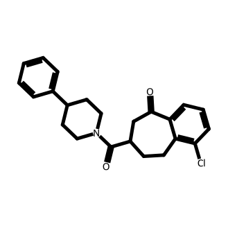 O=C1CC(C(=O)N2CCC(c3ccccc3)CC2)CCc2c(Cl)cccc21